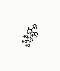 OC[C@H]1O[C@@H](n2c3ncnc(-c4ccco4)c3c3ccsc32)[C@H](O)[C@@H]1O